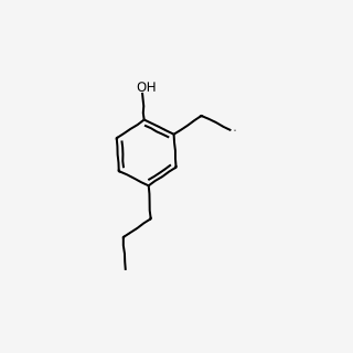 [CH2]Cc1cc(CCC)ccc1O